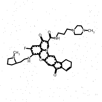 CN1CCN(CCCNC(=O)c2cn3c4cc5c6c(c(=O)c5cc4oc4c(NCCC5CCCN5C)c(F)cc(c2=O)c43)C=CCC6)CC1